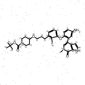 Cn1cc(-c2cc(N)ccc2Oc2cccc(CCCOC3CCN(C(=O)OC(C)(C)C)CC3)c2F)c2cc[nH]c2c1=O